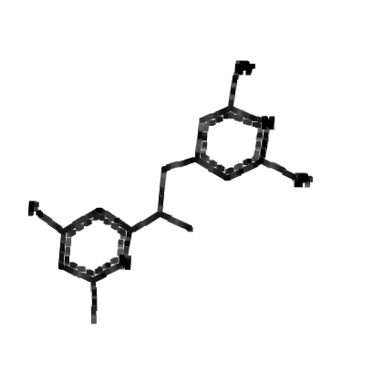 Cc1cc(F)cc(C(C)Cc2cc(C(C)C)nc(C(C)C)c2)n1